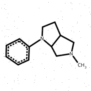 CN1CC2CCN(c3cc[c]cc3)C2C1